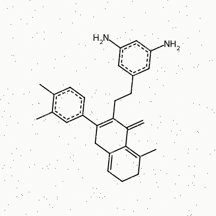 C=C1C(CCc2cc(N)cc(N)c2)=C(c2ccc(C)c(C)c2)CC2=CCCC(C)=C12